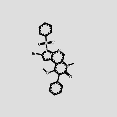 COc1c(-c2ccccc2)c(=O)n(C)c2cnc3c(cc(Br)n3S(=O)(=O)c3ccccc3)c12